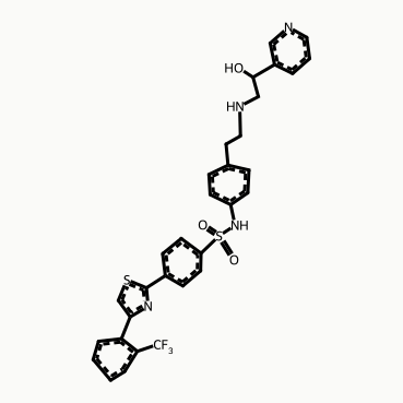 O=S(=O)(Nc1ccc(CCNCC(O)c2cccnc2)cc1)c1ccc(-c2nc(-c3ccccc3C(F)(F)F)cs2)cc1